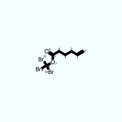 C=CCCCC(=O)OC(Br)(Br)Br